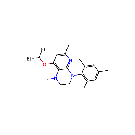 CCC(CC)Oc1cc(C)nc2c1N(C)CCN2c1c(C)cc(C)cc1C